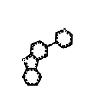 [c]1ccc2oc3ccc(-c4cccnc4)cc3c2c1